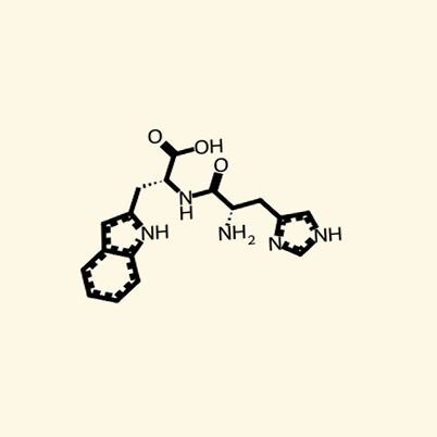 N[C@@H](Cc1c[nH]cn1)C(=O)N[C@H](Cc1cc2ccccc2[nH]1)C(=O)O